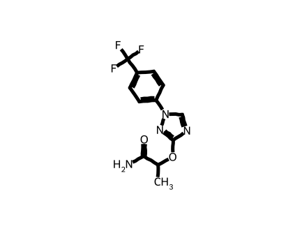 CC(Oc1ncn(-c2ccc(C(F)(F)F)cc2)n1)C(N)=O